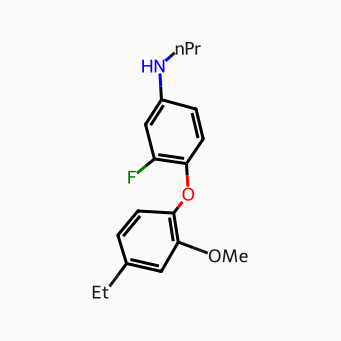 CCCNc1ccc(Oc2ccc(CC)cc2OC)c(F)c1